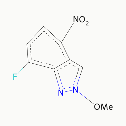 COn1cc2c([N+](=O)[O-])ccc(F)c2n1